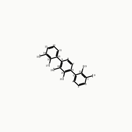 Ic1cccc(-c2ccc(-c3cccc(I)c3I)c(I)c2I)c1I